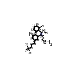 BCS/C(=C(\N=C)c1c(C)cccc1C)c1cc(F)cc(CCCC(C)(C)C)c1